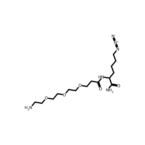 [N-]=[N+]=NCCCCC(NC(=O)CCOCCOCCOCCN)C(N)=O